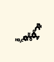 Cc1ncsc1CCOc1cc(C(=O)Nc2ccc(C(=O)O)cn2)cc(N(C)C)c1